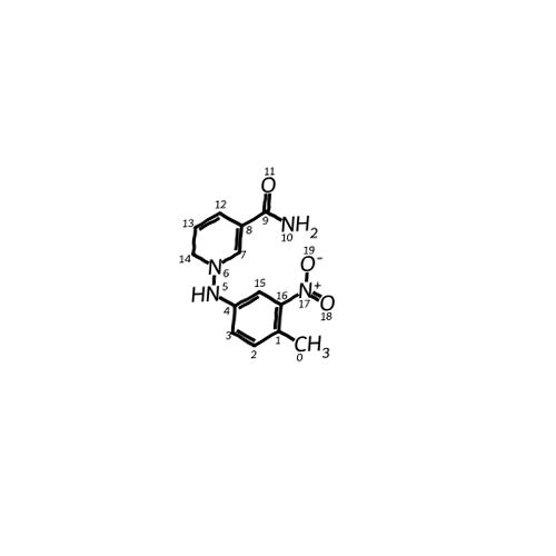 Cc1ccc(NN2C=C(C(N)=O)C=CC2)cc1[N+](=O)[O-]